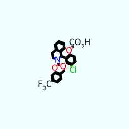 O=C(O)COc1ccc(Cl)cc1C1c2ccccc2CCN1C(=O)OCc1ccc(C(F)(F)F)cc1